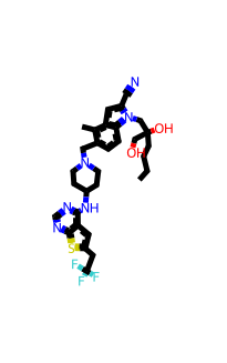 CCCCC(O)(CO)Cn1c(C#N)cc2c(C)c(CN3CCC(Nc4ncnc5sc(CC(F)(F)F)cc45)CC3)ccc21